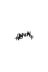 CCCn1ccc(S(=O)(=O)N(C)C2(C)CCN(c3cc4cnn(-c5ccc(F)cc5)c4cc3C)C2)c1